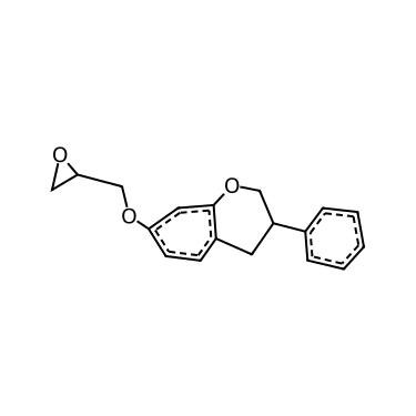 c1ccc(C2COc3cc(OCC4CO4)ccc3C2)cc1